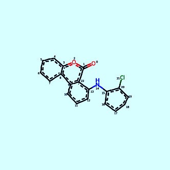 O=c1oc2ccccc2c2cccc(Nc3ccccc3Cl)c12